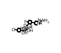 Nc1nc2cc(-c3ccc(F)c(C(=O)NC(O)(O)CC(O)(O)c4ccc(Cl)cc4)c3F)ccn2n1